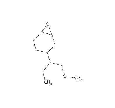 CCC(CO[SiH3])C1CCC2OC2C1